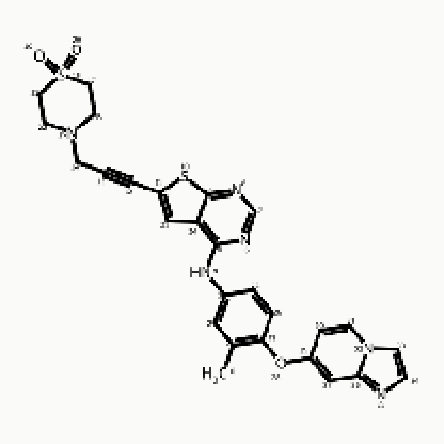 Cc1cc(Nc2ncnc3sc(C#CCN4CCS(=O)(=O)CC4)cc23)ccc1Oc1ccn2ccnc2c1